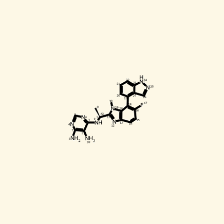 C[C@H](Nc1ncnc(N)c1N)c1nc2ccc(F)c(-c3cccc4[nH]ncc34)c2n1C